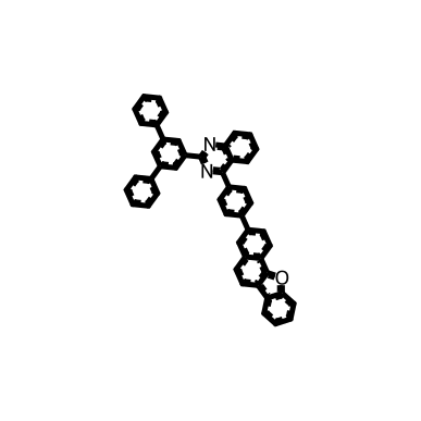 c1ccc(-c2cc(-c3ccccc3)cc(-c3nc(-c4ccc(-c5ccc6c(ccc7c8ccccc8oc67)c5)cc4)c4ccccc4n3)c2)cc1